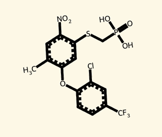 Cc1cc([N+](=O)[O-])c(SCP(=O)(O)O)cc1Oc1ccc(C(F)(F)F)cc1Cl